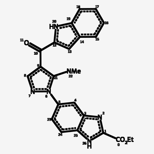 CCOC(=O)c1nc2cc(-n3ncc(C(=O)c4cc5ccccc5[nH]4)c3NC)ccc2[nH]1